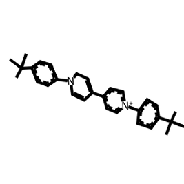 CC(C)(C)c1ccc(N2C=CC(c3cc[n+](-c4ccc(C(C)(C)C)cc4)cc3)=CC2)cc1